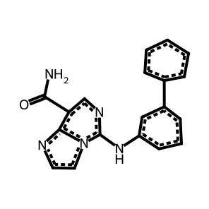 NC(=O)c1cnc(Nc2cccc(-c3ccccc3)c2)n2ccnc12